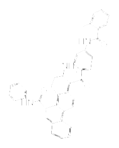 Cc1ccccc1C(=O)Nc1ccc(C(=O)C2=c3ccc4c(c3CCC2N)C(C(=O)Nc2ccccc2)C=c2ccccc2=4)cc1